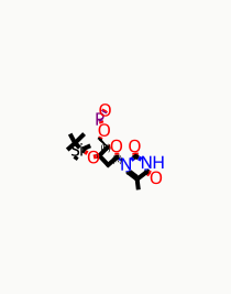 Cc1cn([C@H]2CC(O[Si](C)(C)C(C)(C)C)[C@@H](COP=O)O2)c(=O)[nH]c1=O